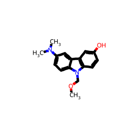 COCn1c2ccc(O)cc2c2cc(N(C)C)ccc21